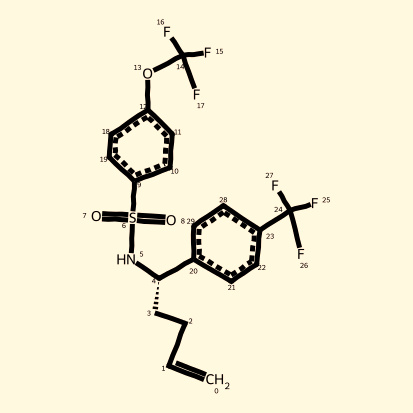 C=CCC[C@H](NS(=O)(=O)c1ccc(OC(F)(F)F)cc1)c1ccc(C(F)(F)F)cc1